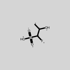 CC(O)C(F)S(=O)(=O)O